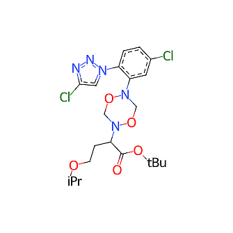 CC(C)OCCC(C(=O)OC(C)(C)C)N1CON(c2cc(Cl)ccc2-n2cc(Cl)nn2)CO1